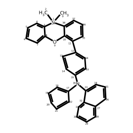 C[Si]1(C)c2ccccc2Oc2c(-c3ccc(N(c4ccccc4)c4cccc5ccccc45)cc3)cccc21